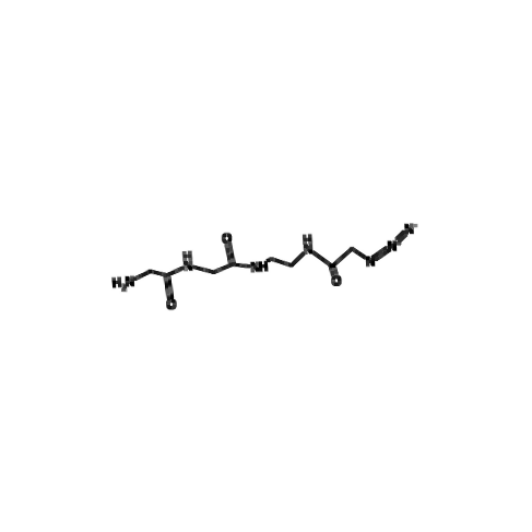 [N-]=[N+]=NCC(=O)NCCNC(=O)CNC(=O)CN